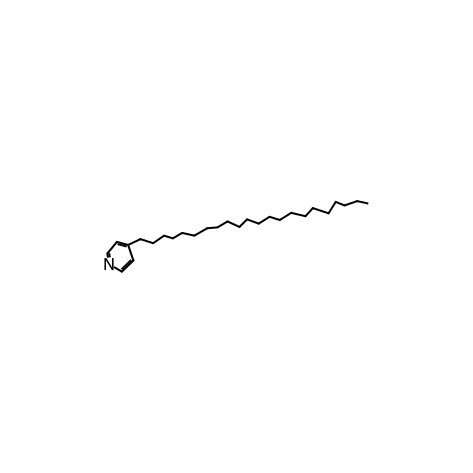 CCCCCCCCCCCCCCCCCCCCCCc1ccncc1